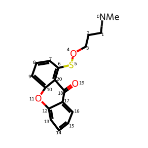 CNCCCOSc1cccc2oc3ccccc3c(=O)c12